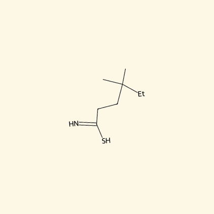 CCC(C)(C)CCC(=N)S